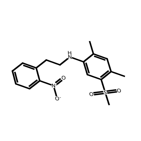 Cc1cc(C)c(S(C)(=O)=O)cc1NCCc1ccccc1[N+](=O)[O-]